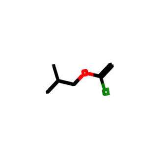 C=C(Cl)OCC(C)C